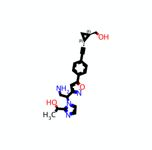 CC(O)c1nccn1C(CN)c1cc(-c2ccc(C#C[C@@H]3C[C@H]3CO)cc2)on1